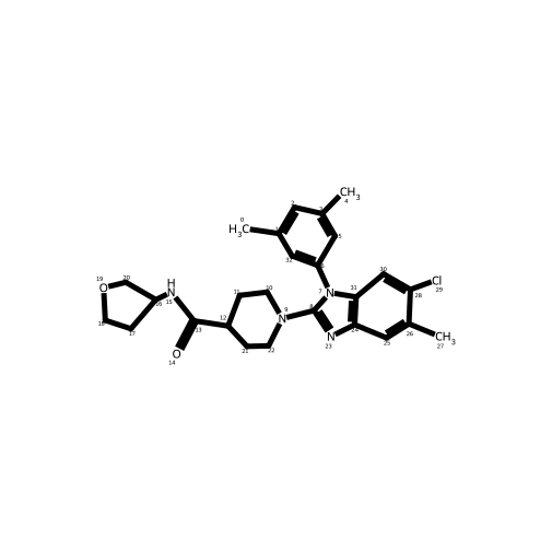 Cc1cc(C)cc(-n2c(N3CCC(C(=O)NC4CCOC4)CC3)nc3cc(C)c(Cl)cc32)c1